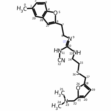 Cc1ccc2oc(CC/N=C(\NC#N)NCCSCc3ccc(CN(C)C)o3)cc2c1